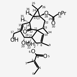 C/C=C(\C)C(=O)O[C@H]1C(C)=CC23C(=O)[C@@H](C=C(CO)[C@@H](O)[C@]12O)[C@@H]1C(C)(C)[C@]1(OC(=O)CCC)CC3C